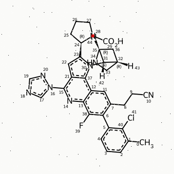 Cc1cccc(-c2c(CCC#N)cc3c(nc(-n4cncn4)c4cc([C@H]5CCCN5C(=O)O)n([C@H]5[C@H]6CN[C@@H]5C6)c43)c2F)c1Cl